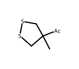 CC(=O)C1(C)CSSC1